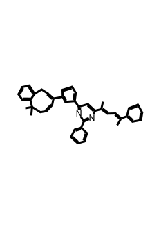 C/C(=C\C=C(/C)c1cc(-c2cccc(C3=C/Cc4ccccc4C(C)(C)C/C=C\3)c2)nc(-c2ccccc2)n1)c1ccccc1